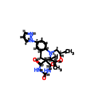 C[C@@H]1CN2c3ccc(-n4cccn4)cc3CC3(C(=O)NC(=O)NC3=O)[C@H]2[C@H](C)O1